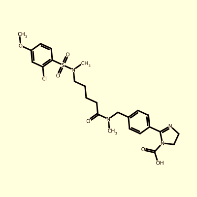 COc1ccc(S(=O)(=O)N(C)CCCCC(=O)N(C)Cc2ccc(C3=NCCN3C(=O)O)cc2)c(Cl)c1